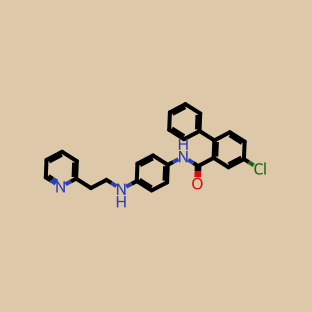 O=C(Nc1ccc(NCCc2ccccn2)cc1)c1cc(Cl)ccc1-c1ccccc1